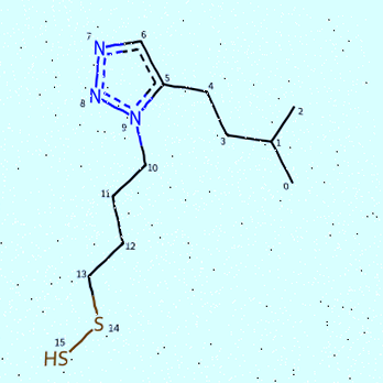 CC(C)CCc1cnnn1CCCCSS